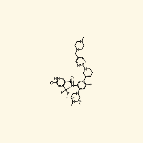 C[C@@H]1CN(c2cc(F)c(C3=CCCN(c4ncc(CN5CCN(C)CC5)cn4)C3)cc2NC(=O)c2c[nH]c(=O)cc2C(F)(F)F)C[C@H](C)N1C